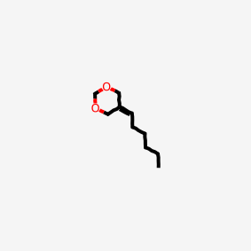 CCCCCC=C1COCOC1